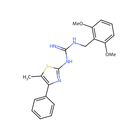 COc1cccc(OC)c1CNC(=N)Nc1nc(-c2ccccc2)c(C)s1